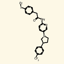 CCSc1ccc(CC(=O)Nc2ccc(N3CCC(c4ccc(C(F)(F)F)cc4)C3)cn2)cc1